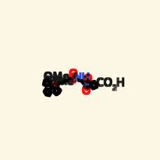 COc1cccc(C(OCCCCCCOC(=O)NCCCN2C(=O)c3ccc(C(=O)O)cc3C2=O)(c2ccccc2)c2ccccc2)c1OC